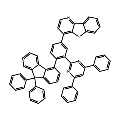 c1ccc(-c2cc(-c3ccccc3)nc(-c3cc(-c4ccnc5c4sc4ccccc45)ccc3-c3cccc4c3-c3ccccc3C4(c3ccccc3)c3ccccc3)n2)cc1